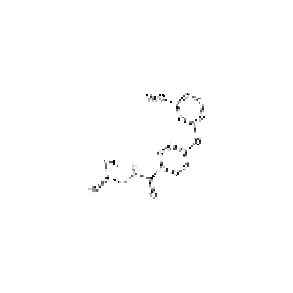 COc1cccc(Oc2ccc(C(=O)NCC(=N)N)cc2)c1